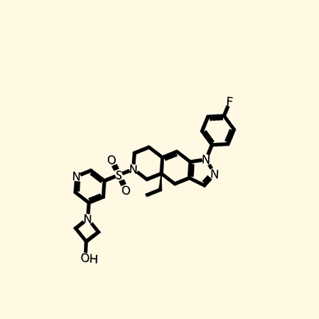 CC[C@]12Cc3cnn(-c4ccc(F)cc4)c3C=C1CCN(S(=O)(=O)c1cncc(N3CC(O)C3)c1)C2